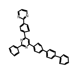 c1ccc(-c2ccc(-c3ccc(-c4cc(-c5ccc(-c6ncccn6)cc5)nc(-c5ccccc5)n4)cc3)cc2)cc1